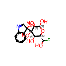 OC(F)[C@H]1O[C@H](O)[C@@H](O)[C@](O)(C2(O)C=Nc3ccccc32)[C@@H]1O